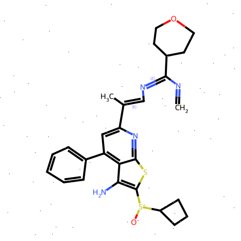 C=N/C(=N\C=C(/C)c1cc(-c2ccccc2)c2c(N)c([S+]([O-])C3CCC3)sc2n1)C1CCOCC1